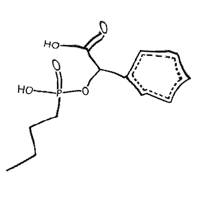 CCCCP(=O)(O)OC(C(=O)O)c1ccccc1